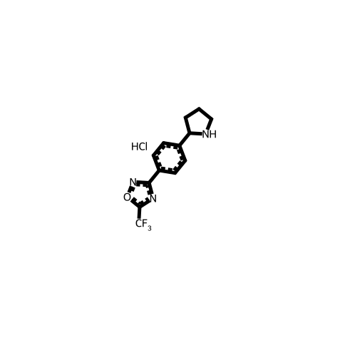 Cl.FC(F)(F)c1nc(-c2ccc(C3CCCN3)cc2)no1